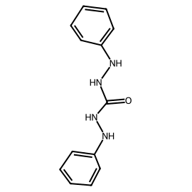 O=C(NNc1ccccc1)NNc1ccccc1